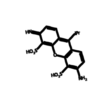 CC(C)c1c2ccc(=N)c(S(=O)(=O)O)c-2oc2c(S(=O)(=O)O)c(N)ccc12